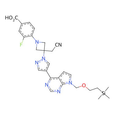 C[Si](C)(C)CCOCn1ccc2c(-c3cnn(C4(CC#N)CN(c5ccc(C(=O)O)cc5F)C4)c3)ncnc21